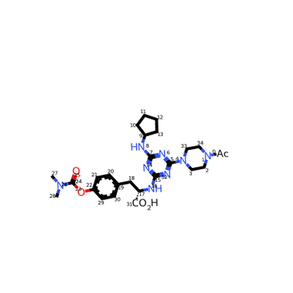 CC(=O)N1CCN(c2nc(NC3CCCC3)nc(N[C@@H](Cc3ccc(OC(=O)N(C)C)cc3)C(=O)O)n2)CC1